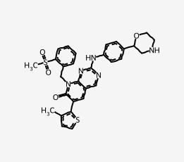 Cc1ccsc1-c1cc2cnc(Nc3ccc(C4CNCCO4)cc3)nc2n(Cc2ccccc2S(C)(=O)=O)c1=O